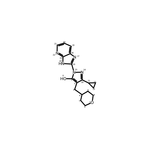 Oc1c(CC2CCOCC2)c(C2CC2)nn1-c1nc2cccnc2[nH]1